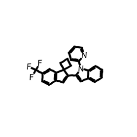 FC(F)(F)c1ccc2c(c1)C1(CCC1)C(c1cc3ccccc3n1-c1ccccn1)=C2